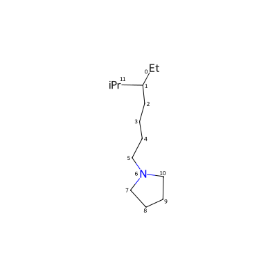 CCC(CCCCN1CCCC1)C(C)C